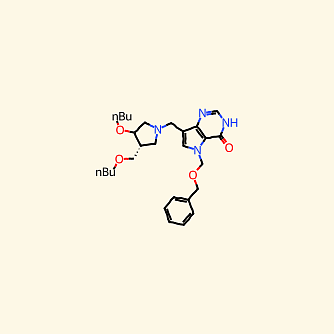 CCCCOC[C@H]1CN(Cc2cn(COCc3ccccc3)c3c(=O)[nH]cnc23)CC1OCCCC